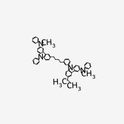 CCC(C)c1ccc2c(c1)c1cc(N(C)c3ccccc3)ccc1n2-c1cccc(CCCCc2ccc3c(c2)c2cc(N(C)c4ccccc4)ccc2n3-c2ccccc2)c1